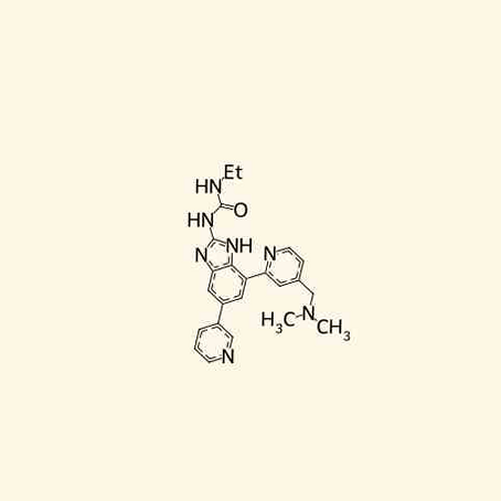 CCNC(=O)Nc1nc2cc(-c3cccnc3)cc(-c3cc(CN(C)C)ccn3)c2[nH]1